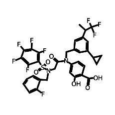 CC(c1cc(CN(C(=O)CN(Cc2ccccc2F)S(=O)(=O)c2c(F)c(F)c(F)c(F)c2F)c2ccc(C(=O)O)c(O)c2)cc(C2CC2)c1)C(F)(F)F